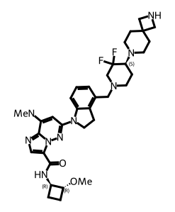 CNc1cc(N2CCc3c(CN4CC[C@H](N5CCC6(CC5)CNC6)C(F)(F)C4)cccc32)nn2c(C(=O)N[C@@H]3CC[C@H]3OC)cnc12